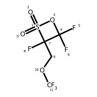 O=S1(=O)OC(F)(F)C1(F)COC(F)(F)F